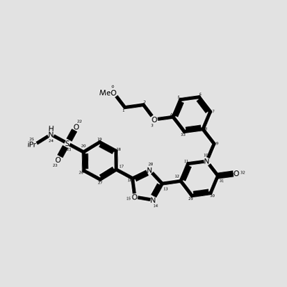 COCCOc1cccc(Cn2cc(-c3noc(-c4ccc(S(=O)(=O)NC(C)C)cc4)n3)ccc2=O)c1